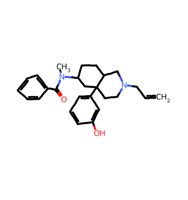 C=CCN1CCC2(c3cccc(O)c3)CC(N(C)C(=O)c3ccccc3)CCC2C1